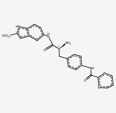 CCOC(=O)c1cc2cc(NC(=O)[C@@H](N)Cc3ccc(NC(=O)c4ncccn4)cc3)ccc2[nH]1